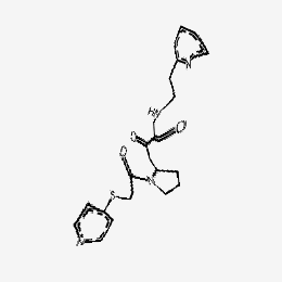 O=C(NCCc1ccccn1)C(=O)C1CCCN1C(=O)CSc1ccncc1